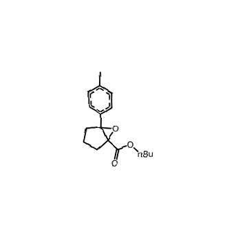 CCCCOC(=O)C12CCCC1(c1ccc(C)cc1)O2